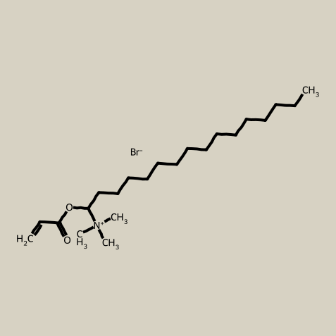 C=CC(=O)OC(CCCCCCCCCCCCCCC)[N+](C)(C)C.[Br-]